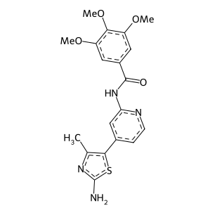 COc1cc(C(=O)Nc2cc(-c3sc(N)nc3C)ccn2)cc(OC)c1OC